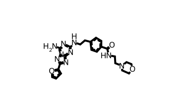 Nc1nc(NCCc2ccc(C(=O)NCCN3CCOCC3)cc2)nc2nc(-c3ccco3)nn12